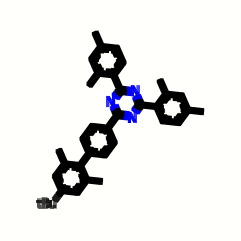 Cc1ccc(-c2nc(-c3ccc(-c4c(C)cc(C(C)(C)C)cc4C)cc3)nc(-c3ccc(C)cc3C)n2)c(C)c1